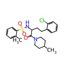 Cc1ccccc1S(=O)(=O)NC(CCc1ccccc1Cl)C(=O)N1CCC(C)CC1